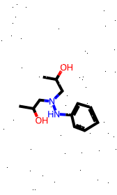 CC(O)CN(CC(C)O)Nc1ccccc1